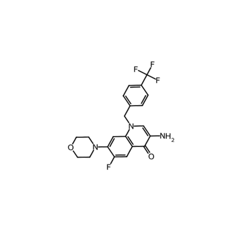 Nc1cn(Cc2ccc(C(F)(F)F)cc2)c2cc(N3CCOCC3)c(F)cc2c1=O